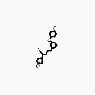 N#CC(CCCc1cccc(Oc2ccc(F)cc2)c1)c1ccc(Cl)cc1